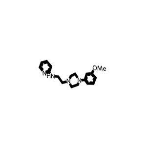 COc1cccc(N2CCN(CCNc3ccccn3)CC2)c1